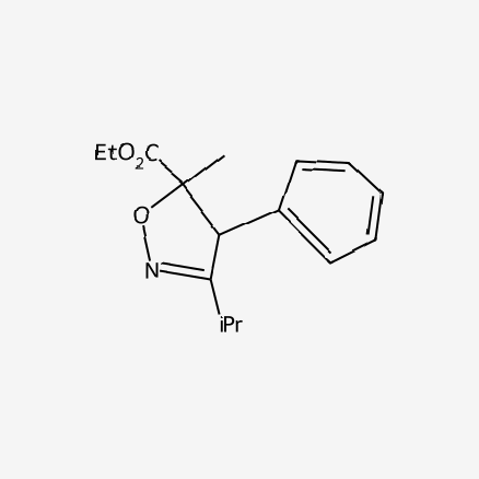 CCOC(=O)C1(C)ON=C(C(C)C)C1c1ccccc1